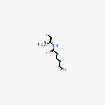 C/C=C(/NC(=O)CCCCC(C)C)C(=O)O